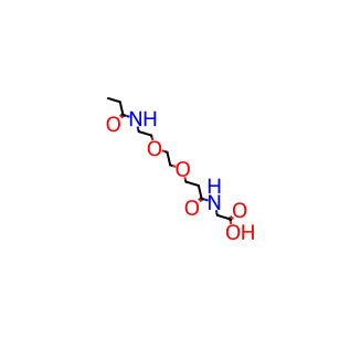 CCC(=O)NCCOCCOCCC(=O)NCC(=O)O